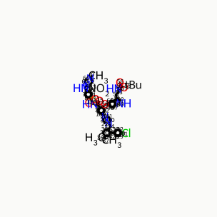 CN1CCN(Nc2ccc(S(=O)(=O)NC(=O)c3ccc(N4CCN(CC5=C(c6ccc(Cl)cc6)CC(C)(C)CC5)CC4)cc3Oc3ccc4[nH]cc(CCNC(=O)OC(C)(C)C)c4c3)cc2[N+](=O)[O-])CC1